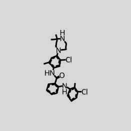 Cc1cc(N2CCNC(C)(C)C2)c(Cl)cc1NC(=O)c1ccccc1Nc1cccc(Cl)c1C